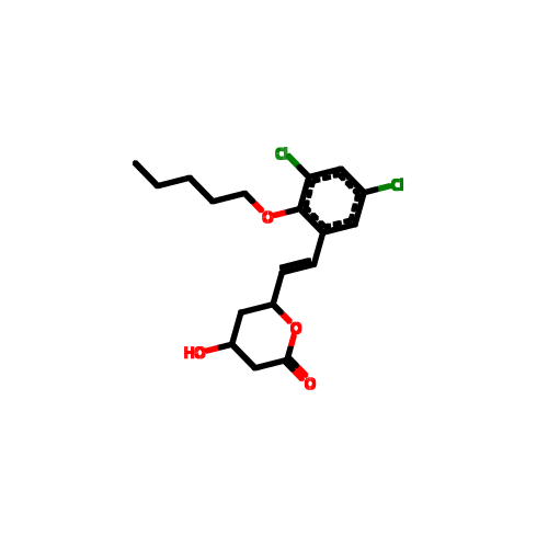 CCCCCOc1c(Cl)cc(Cl)cc1C=CC1CC(O)CC(=O)O1